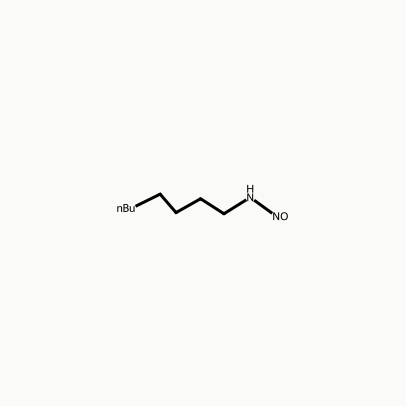 CCCCCCCCNN=O